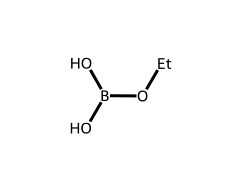 CCOB(O)O